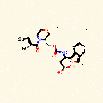 CC(C)(C)C=C(C#N)C(=O)N1CCOC[C@@H]1COC(=O)NC(CB(O)O)c1occ2ccccc12